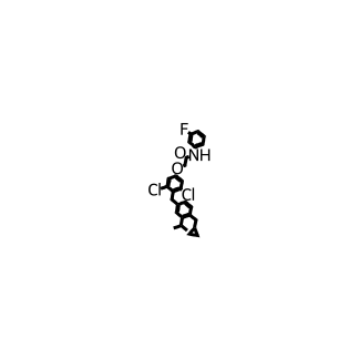 CC(C)c1cc(Cc2c(Cl)cc(OCC(=O)Nc3cccc(F)c3)cc2Cl)ccc1CC1CC1